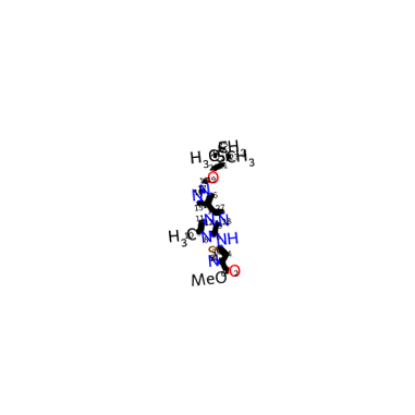 COC(=O)c1cc(Nc2nc(C)cn3c(-c4cnn(COCC[Si](C)(C)C)c4)cnc23)sn1